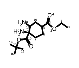 CCOC(=O)C1CCC(N)(C(=O)OC(C)(C)C)C(N)C1